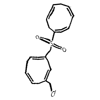 O=S(=O)(c1cc[c]cc1)c1cccc(Cl)c1